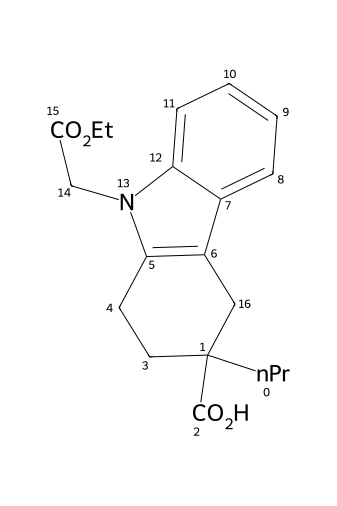 CCCC1(C(=O)O)CCc2c(c3ccccc3n2CC(=O)OCC)C1